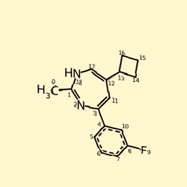 CC1=NC(c2cccc(F)c2)=CC(C2CCC2)=CN1